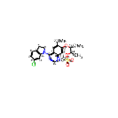 COc1cc2c(N3CCc4ccc(Cl)cc43)ncnc2cc1OC(OC)C(C)OS(C)(=O)=O